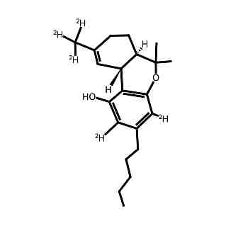 [2H]c1c(O)c2c(c([2H])c1CCCCC)OC(C)(C)[C@@H]1CCC(C([2H])([2H])[2H])=C[C@@H]21